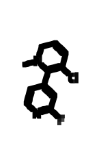 CN1CC=CC(Cl)=C1c1ccnc(F)c1